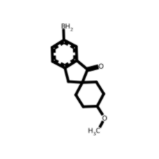 Bc1ccc2c(c1)C(=O)C1(CCC(OC)CC1)C2